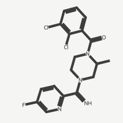 CC1CN(C(=N)c2ccc(F)cn2)CCN1C(=O)c1cccc(Cl)c1Cl